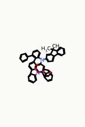 CC1(C)c2ccccc2-c2ccc(N(c3cccc(-c4ccccc4)c3)c3cccc(-c4ccccc4)c3-c3ccc4c5ccccc5n(-c5ccccc5)c4c3)cc21